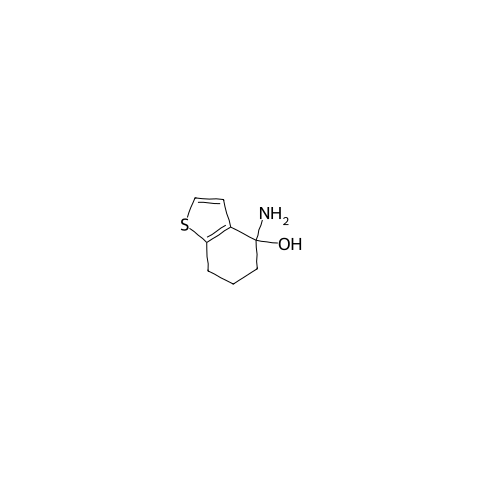 NC1(O)CCCc2sccc21